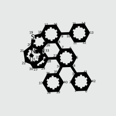 c1ccc(-c2ccc(-c3c(-c4ccccc4)ccc4sc5ccccc5c34)c(-c3ccnnn3)c2-c2ccccc2)cc1